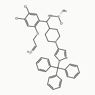 C=CCOc1cc(Cl)c(Cl)cc1C(N[S@@+]([O-])C(C)(C)C)C1CCN(c2cnn(C(c3ccccc3)(c3ccccc3)c3ccccc3)c2)CC1